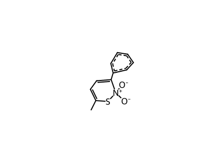 CC1=CC=C(c2ccccc2)[N+]([O-])([O-])S1